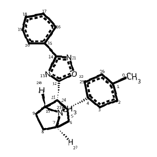 Cc1ccc([C@@H]2C[C@H]3CC[C@H]([C@@H]2c2nc(-c4ccccc4)no2)N3C)cc1